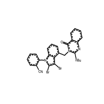 CCCCc1nc2ccccc2c(=O)n1Cc1cccc2c1c(Br)c(Br)n2-c1ccccc1C#N